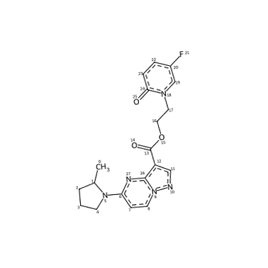 CC1CCCN1c1ccn2ncc(C(=O)OCCn3cc(F)ccc3=O)c2n1